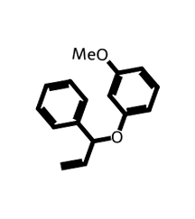 C=CC(Oc1cccc(OC)c1)c1ccccc1